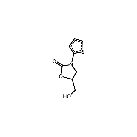 O=C1OC(CO)CN1c1cccs1